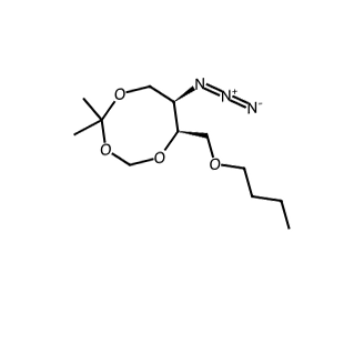 CCCCOC[C@H]1OCOC(C)(C)OC[C@H]1N=[N+]=[N-]